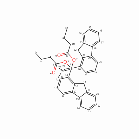 CCCC(=O)[O][Ti]([O]C(=O)CCC)([c]1cccc2c1Cc1ccccc1-2)([c]1cccc2c1Cc1ccccc1-2)=[Si](C)C